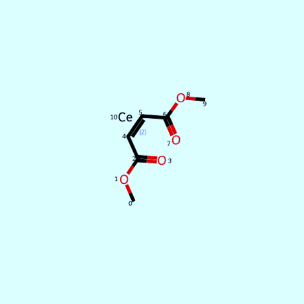 COC(=O)/C=C\C(=O)OC.[Ce]